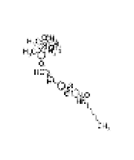 CCCCCCCCNC(=O)N1CCC(S(=O)(=O)c2ccc(CCNC[C@H](O)COc3ccc(O[Si](C(C)C)(C(C)C)C(C)C)c(C)c3)cc2)CC1